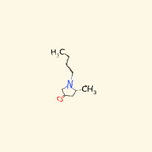 CCCCN1CC(=O)CC1C